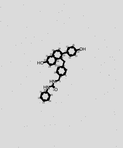 O=C(NCc1ccc(Cc2c(-c3ccc(O)cc3)ccc3cc(O)ccc23)cc1)Nc1ccccc1